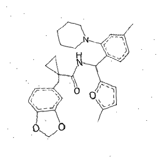 Cc1ccc(C(NC(=O)C2(c3ccc4c(c3)OCO4)CC2)c2ccc(C)o2)c(N2CCCCC2)c1